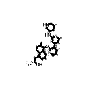 Cc1ccc2c(C[C@H](O)C(F)(F)F)cccc2c1Oc1ncccc1-c1ccnc(N[C@H]2CCCNC2)n1